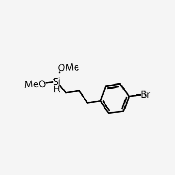 CO[SiH](CCCc1ccc(Br)cc1)OC